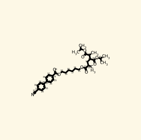 CC(C)OC(=O)C(C)C(CC(C)C(=O)OCCCCCCOC(=O)c1ccc(-c2ccc(C#N)cc2)cc1)C(=O)OC(C)C